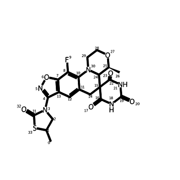 CC1CN(c2noc3c(F)c4c(cc23)CC2(C(=O)NC(=O)NC2=O)C2[C@H](C)OCCN42)C(=O)S1